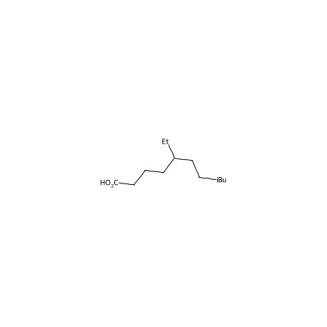 CCC(C)CCC(CC)CCCC(=O)O